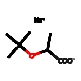 CC(O[Si](C)(C)C)C(=O)[O-].[Na+]